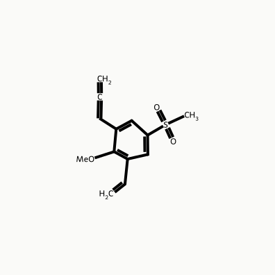 C=C=Cc1cc(S(C)(=O)=O)cc(C=C)c1OC